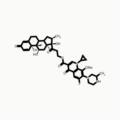 COc1c(N2CCNC(C)C2)c(F)cc2c(=O)c(C(=O)OC[CH]C(=O)[C@@]3(O)[C@H](C)CC4C5CCC6=CC(=O)C=C[C@]6(C)[C@@]5(F)[C@@H](O)C[C@@]43C)cn(C3CC3)c12